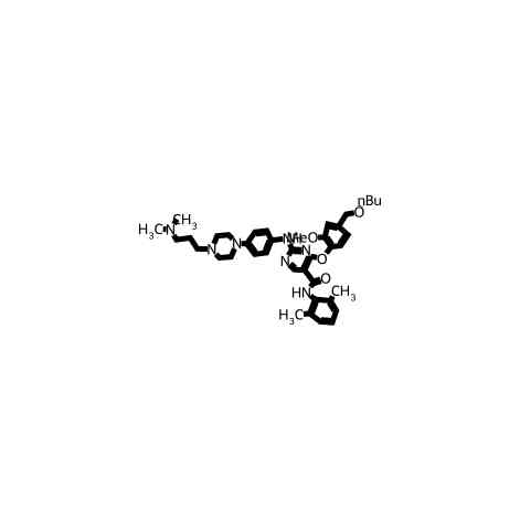 CCCCOCc1ccc(Oc2nc(Nc3ccc(N4CCN(CCCN(C)C)CC4)cc3)ncc2C(=O)Nc2c(C)cccc2C)c(OC)c1